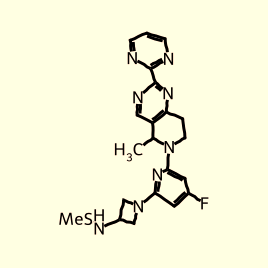 CSNC1CN(c2cc(F)cc(N3CCc4nc(-c5ncccn5)ncc4C3C)n2)C1